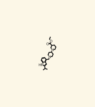 CCOC(=O)C1CCCN(C2CCN(Cc3cccc4[nH]c(C(C)C)cc34)CC2)C1